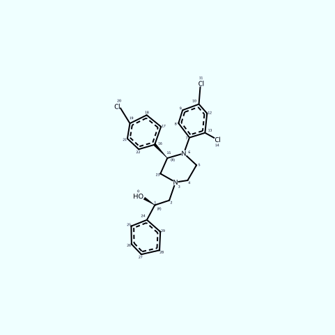 O[C@@H](CN1CCN(c2ccc(Cl)cc2Cl)[C@H](c2ccc(Cl)cc2)C1)c1ccccc1